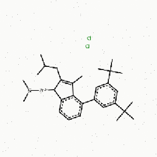 CC1=C(CC(C)C)[CH]([Zr+2][Si](C)C)c2cccc(-c3cc(C(C)(C)C)cc(C(C)(C)C)c3)c21.[Cl-].[Cl-]